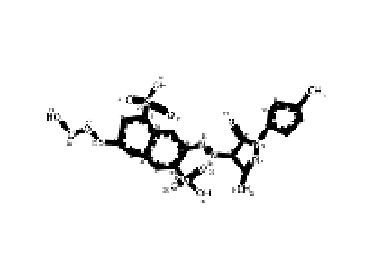 CC1=NN(c2ccc(C)cc2)C(=O)C1N=Nc1cc2c(S(=O)(=O)O)cc(SOOO)cc2cc1S(=O)(=O)O